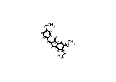 COc1ccc(C=C2Cc3cc(OC)c(OC)cc3C2=O)cc1